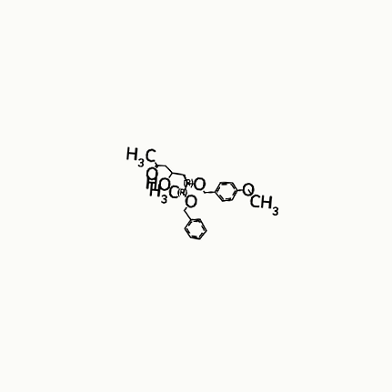 COc1ccc(CO[C@H](CC(O)CC(C)=O)[C@@H](C)OCc2ccccc2)cc1